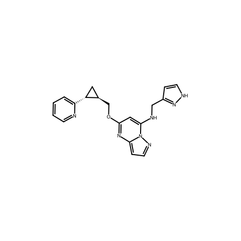 c1ccc([C@@H]2C[C@H]2COc2cc(NCc3cc[nH]n3)n3nccc3n2)nc1